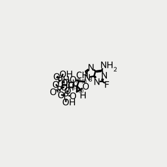 C[C@]1(O)[C@H](n2cnc3c(N)nc(F)nc32)O[C@@H]2C(OP(=O)(O)OP(=O)(O)OP(=O)(O)O)[C@@]21O